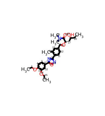 CCOc1ccc(-c2nc(-c3ccc(CO[C@@H](C[C@@H](O)CC)C(=O)N(C)C)cc3C)no2)cc1OCC